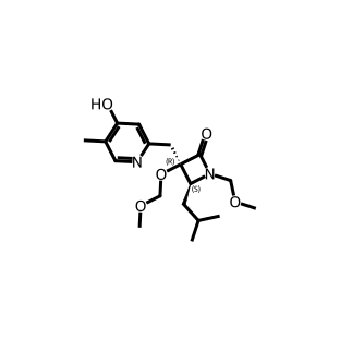 COCO[C@@]1(Cc2cc(O)c(C)cn2)C(=O)N(COC)[C@H]1CC(C)C